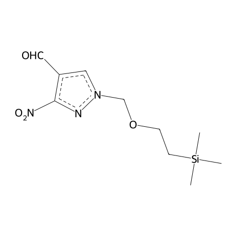 C[Si](C)(C)CCOCn1cc(C=O)c([N+](=O)[O-])n1